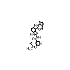 CC(Oc1cncc(C(=O)Nc2nc3c(C(=O)Nc4ncc[nH]4)cccc3[nH]2)c1)C1CC1